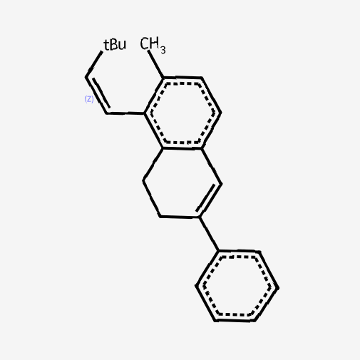 Cc1ccc2c(c1/C=C\C(C)(C)C)CCC(c1ccccc1)=C2